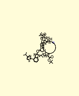 CC(C)c1csc(-c2cccc3c2nc(O[C@@H]2C[C@H]4C(=O)N[C@]5(C(=O)NS(=O)(=O)N(C)C)C[C@H]5/C=C\CCCCC[C@H](NC(=O)OC(C)(C)C)C(=O)N4C2)n3C(C)C)n1